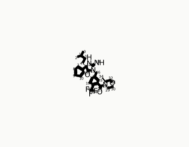 CC(C)CC[C@]1(c2ccccc2)NC(=N)N(Cc2ccc(C(F)(F)F)c(C(=O)N3CCOC[C@@H]3C)c2)C1=O